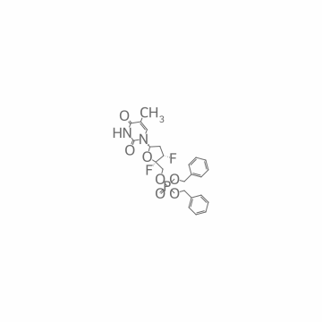 Cc1cn([C@H]2C[C@H](F)[C@@](F)(COP(=O)(OCc3ccccc3)OCc3ccccc3)O2)c(=O)[nH]c1=O